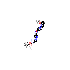 COc1cccc2ccc(N3CCC(c4nc(-c5ccc(N6CCC(CNC(=O)OC(C)(C)C)C6)nc5)no4)CC3)nc12